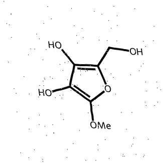 COc1oc(CO)c(O)c1O